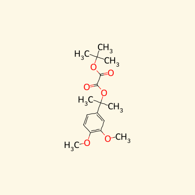 COc1ccc(C(C)(C)OC(=O)C(=O)OC(C)(C)C)cc1OC